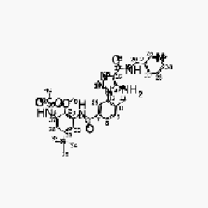 COc1c(NC(=O)c2ccc(C)c(-n3nnc(C(=O)NCc4cccnc4)c3N)c2)cc(C(C)(C)C)cc1NS(C)(=O)=O